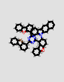 c1ccc2cc3c(cc2c1)c1ccccc1n3-c1ccc2oc3ccccc3c2c1-c1nc(-c2cccc3c2oc2ccccc23)nc(-c2cccc3c2sc2ccccc23)n1